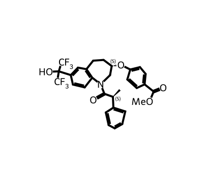 COC(=O)c1ccc(O[C@H]2CCc3cc(C(O)(C(F)(F)F)C(F)(F)F)ccc3N(C(=O)[C@@H](C)c3ccccc3)C2)cc1